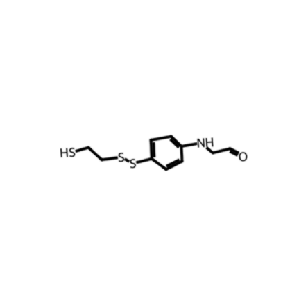 O=CCNc1ccc(SSCCS)cc1